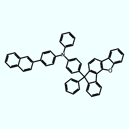 c1ccc(N(c2ccc(-c3ccc4ccccc4c3)cc2)c2ccc(C3(c4ccccc4)c4ccccc4-c4c3ccc3c4oc4ccccc43)cc2)cc1